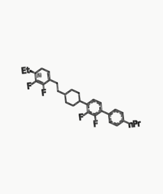 CCCc1ccc(-c2ccc(C3CCC(CCC4=CC[C@H](CC)C(F)=C4F)CC3)c(F)c2F)cc1